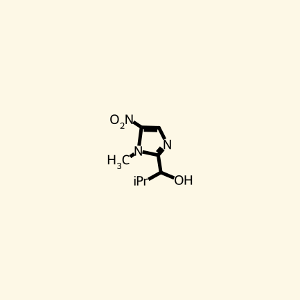 CC(C)C(O)c1ncc([N+](=O)[O-])n1C